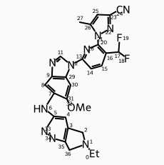 CCN1Cc2cc(Nc3cc4ncn(-c5ccc(C(F)F)c(-n6nc(C#N)cc6C)n5)c4cc3OC)nnc2C1